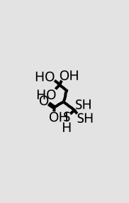 O=C(O)C(CC(O)(O)O)C(S)(S)S